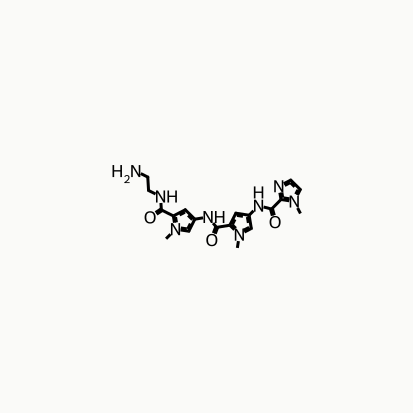 Cn1cc(NC(=O)c2cc(NC(=O)c3nccn3C)cn2C)cc1C(=O)NCCN